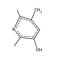 Cc1cc(O)c(I)nc1I